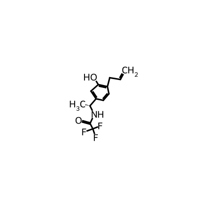 C=CCc1ccc([C@@H](C)NC(=O)C(F)(F)F)cc1O